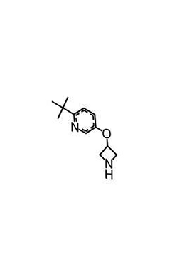 CC(C)(C)c1ccc(OC2CNC2)cn1